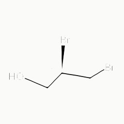 OC[C@@H](Br)CBr